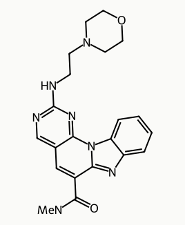 CNC(=O)c1cc2cnc(NCCN3CCOCC3)nc2n2c1nc1ccccc12